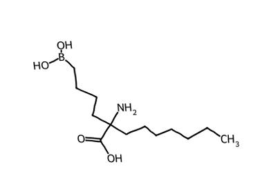 CCCCCCCC(N)(CCCCB(O)O)C(=O)O